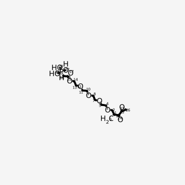 C=C(COCCOCCOCCOCCOC(=O)C[PH](O)(O)O)C(=O)C1CO1